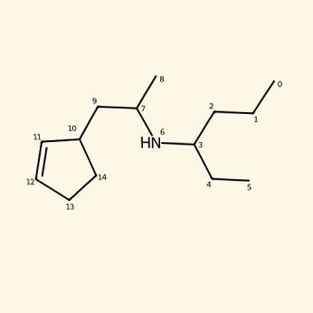 CCCC(CC)NC(C)CC1C=CCC1